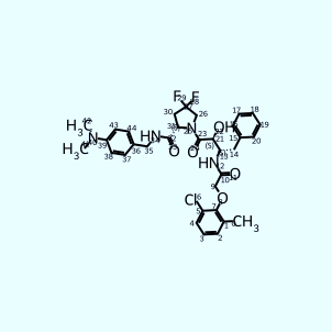 Cc1cccc(Cl)c1OCC(=O)N[C@@H](Cc1ccccc1)[C@H](O)C(=O)N1CC(F)(F)C[C@H]1C(=O)NCc1ccc(N(C)C)cc1